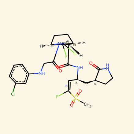 CS(=O)(=O)/C(F)=C\[C@H](C[C@@H]1CCNC1=O)NC(=O)[C@H]1[C@@H]2CC[C@@H](CC2(F)F)N1C(=O)CNc1cccc(Cl)c1